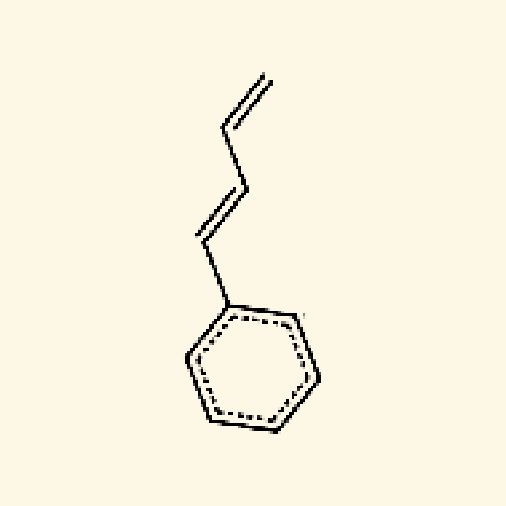 C=CC=Cc1[c]cccc1